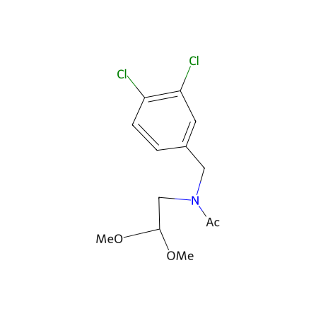 COC(CN(Cc1ccc(Cl)c(Cl)c1)C(C)=O)OC